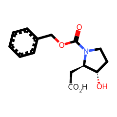 O=C(O)C[C@@H]1[C@@H](O)CCN1C(=O)OCc1ccccc1